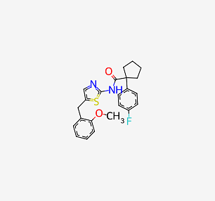 COc1ccccc1Cc1cnc(NC(=O)C2(c3ccc(F)cc3)CCCC2)s1